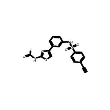 C#Cc1ccc(S(=O)(=O)Nc2cccc(-c3csc(NC(=O)I)n3)c2)cc1